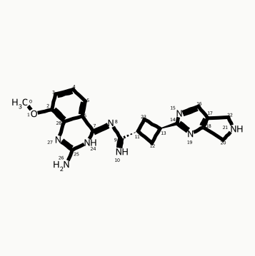 COc1cccc2/c(=N/C(=N)[C@H]3C[C@H](c4ncc5c(n4)CNC5)C3)[nH]c(N)nc12